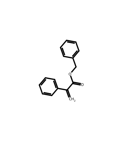 C=C(C(=O)OCc1ccccc1)c1ccccc1